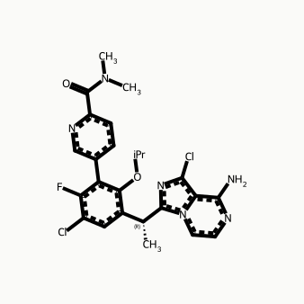 CC(C)Oc1c([C@@H](C)c2nc(Cl)c3c(N)nccn23)cc(Cl)c(F)c1-c1ccc(C(=O)N(C)C)nc1